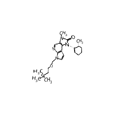 C[C@@H]1CCCC[C@@H]1n1c(=O)n(C)c2cnc3c(ccn3COCC[Si](C)(C)C)c21